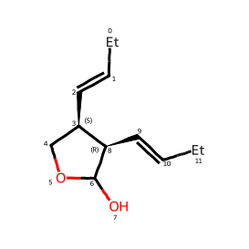 CCC=C[C@@H]1COC(O)[C@@H]1C=CCC